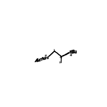 CC(=O)NCC(C)C(C)(C)C